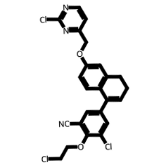 N#Cc1cc(C2=CCCc3cc(OCc4ccnc(Cl)n4)ccc32)cc(Cl)c1OCCCl